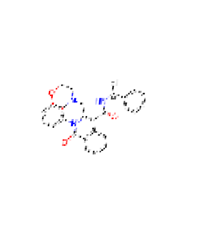 CC[C@H](NC(=O)c1c(CN2CCOCC2)n(-c2ccccc2)c(=O)c2ccccc12)c1ccccc1